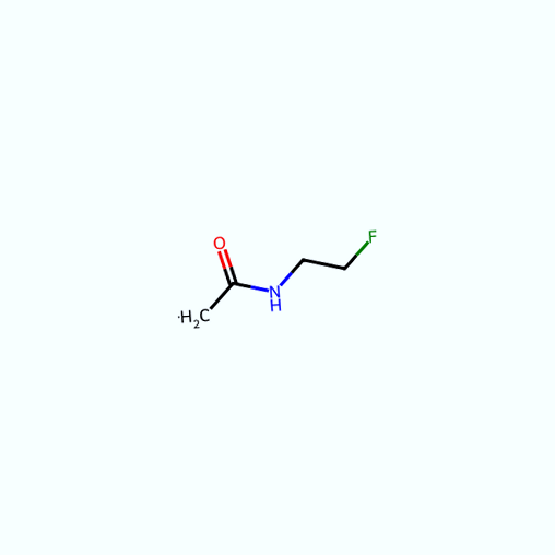 [CH2]C(=O)NCCF